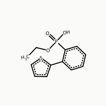 CCOP(=O)(O)c1ccccc1-c1cccs1